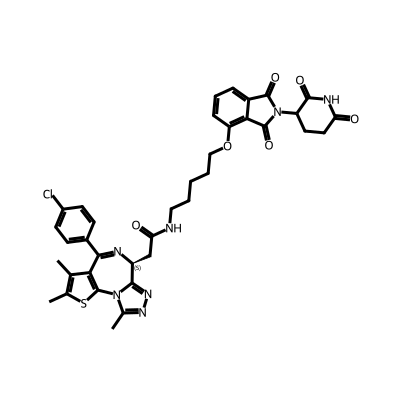 Cc1sc2c(c1C)C(c1ccc(Cl)cc1)=N[C@@H](CC(=O)NCCCCCOc1cccc3c1C(=O)N(C1CCC(=O)NC1=O)C3=O)c1nnc(C)n1-2